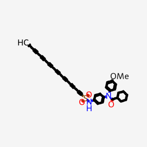 C#CC#CC#CC#CC#CC#CC#CC#CS(=O)(=O)Nc1ccc(N(C(=O)C2CCCCC2)c2ccc(OC)cc2)cc1